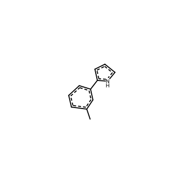 Cc1cccc(-c2ccc[nH]2)c1